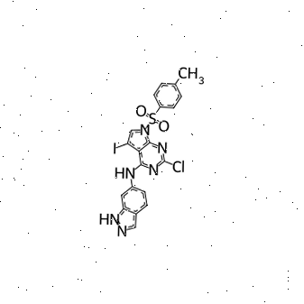 Cc1ccc(S(=O)(=O)n2cc(I)c3c(Nc4ccc5cn[nH]c5c4)nc(Cl)nc32)cc1